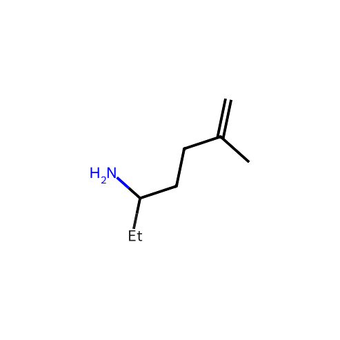 C=C(C)CCC(N)CC